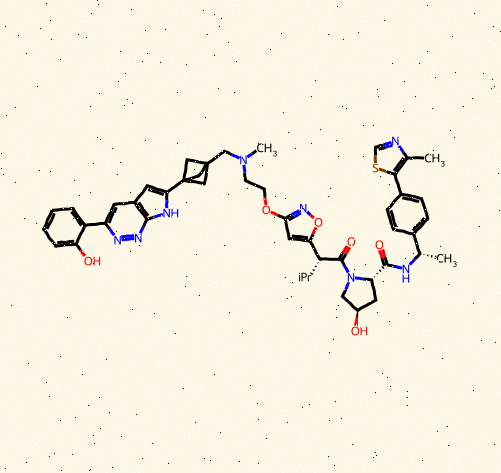 Cc1ncsc1-c1ccc([C@H](C)NC(=O)[C@@H]2C[C@@H](O)CN2C(=O)[C@@H](c2cc(OCCN(C)CC34CC(c5cc6cc(-c7ccccc7O)nnc6[nH]5)(C3)C4)no2)C(C)C)cc1